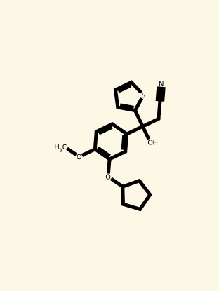 COc1ccc(C(O)(CC#N)c2cccs2)cc1OC1CCCC1